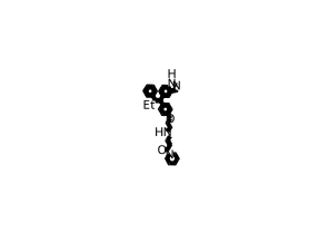 CCC(=C(c1ccc(OCCNCC=CC(=O)N2CCCCC2)cc1)c1ccc2[nH]ncc2c1)c1ccccc1